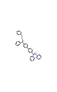 C(/CCc1ccccc1)=C(/c1ccccc1)c1ccc(-c2ccc(/C(=N/c3ccccc3)c3ccccc3)cc2)cc1